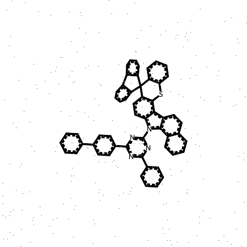 c1ccc(-c2ccc(-c3nc(-c4ccccc4)nc(-n4c5ccc6c(c5c5ccc7ccccc7c54)Sc4ccccc4C64c5ccccc5-c5ccccc54)n3)cc2)cc1